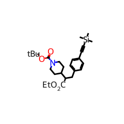 CCOC(=O)C(Cc1ccc(C#C[Si](C)(C)C)cc1)C1CCN(C(=O)OC(C)(C)C)CC1